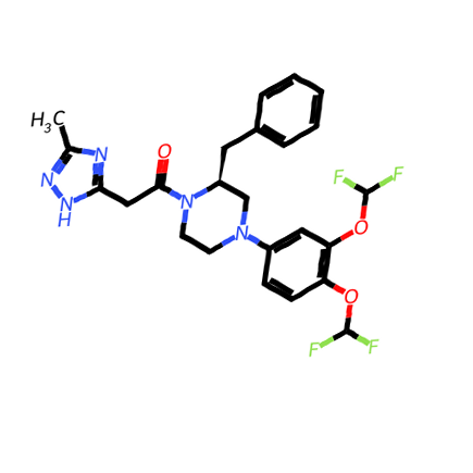 Cc1n[nH]c(CC(=O)N2CCN(c3ccc(OC(F)F)c(OC(F)F)c3)C[C@@H]2Cc2ccccc2)n1